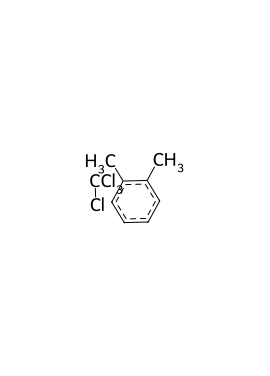 Cc1ccccc1C.ClC(Cl)(Cl)Cl